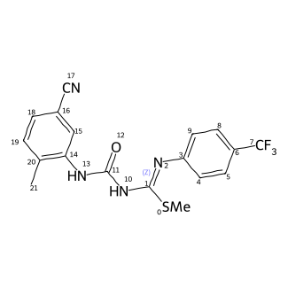 CS/C(=N\c1ccc(C(F)(F)F)cc1)NC(=O)Nc1cc(C#N)ccc1C